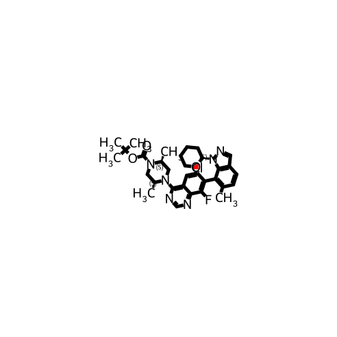 Cc1ccc2cnn([C@@H]3CCCCO3)c2c1-c1c(Cl)cc2c(N3C[C@H](C)N(C(=O)OC(C)(C)C)C[C@@H]3C)ncnc2c1F